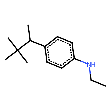 CCNc1ccc(C(C)C(C)(C)C)cc1